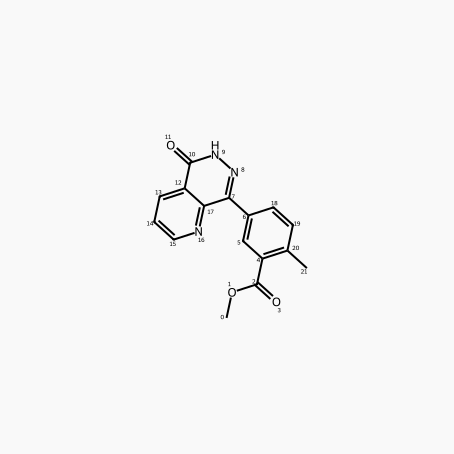 COC(=O)c1cc(-c2n[nH]c(=O)c3cccnc23)ccc1C